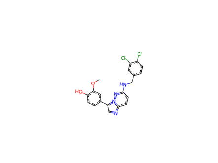 COc1cc(-c2cnc3ccc(NCc4ccc(Cl)c(Cl)c4)nn23)ccc1O